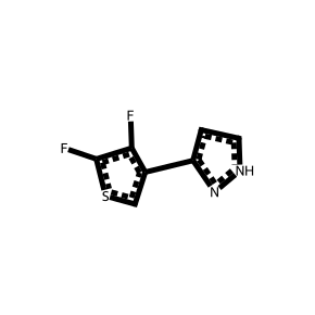 Fc1scc(-c2cc[nH]n2)c1F